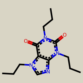 CCCn1c(=O)c2c(ncn2CCC)n(CCC)c1=O